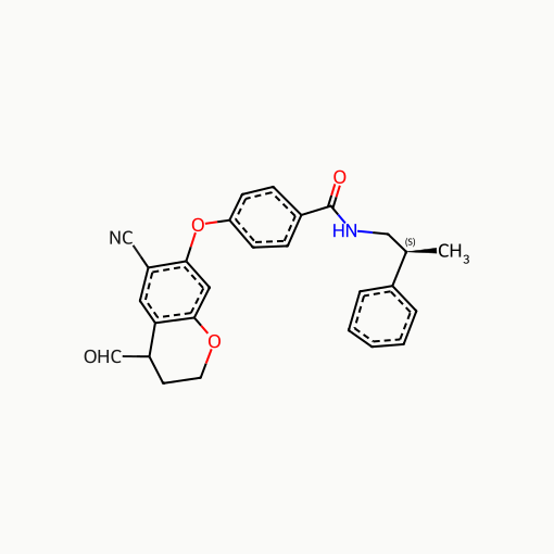 C[C@H](CNC(=O)c1ccc(Oc2cc3c(cc2C#N)C(C=O)CCO3)cc1)c1ccccc1